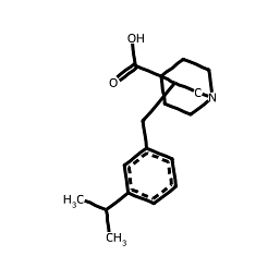 CC(C)c1cccc(CC2CN3CCC2(C(=O)O)CC3)c1